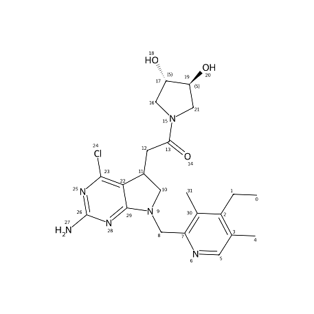 CCc1c(C)cnc(CN2CC(CC(=O)N3C[C@H](O)[C@@H](O)C3)c3c(Cl)nc(N)nc32)c1C